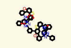 c1ccc(-c2nc(-c3cccc(-c4c5oc6cccc(-c7nc(-c8ccccc8)nc(-c8ccccc8)n7)c6c5cc5c4sc4cccc(-n6c7ccccc7c7ccccc76)c45)c3)nc(-c3ccc4sc5ccc6oc7cccc(-n8c9ccccc9c9ccccc98)c7c6c5c4c3)n2)cc1